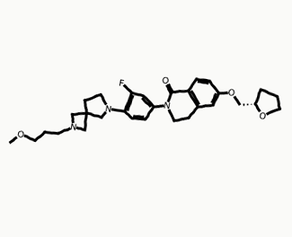 COCCCN1CC2(CCN(c3ccc(N4CCc5cc(OC[C@@H]6CCCO6)ccc5C4=O)cc3F)C2)C1